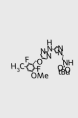 COc1cc(C)c(F)c(COc2cnc(Nc3cnn(CCNC(=O)OC(C)(C)C)c3)nc2)c1F